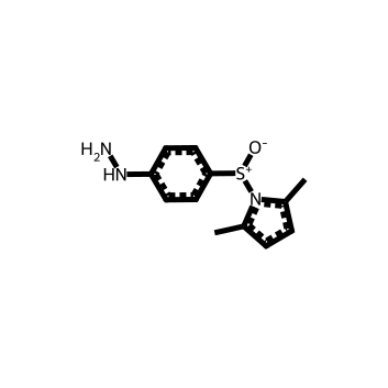 Cc1ccc(C)n1[S+]([O-])c1ccc(NN)cc1